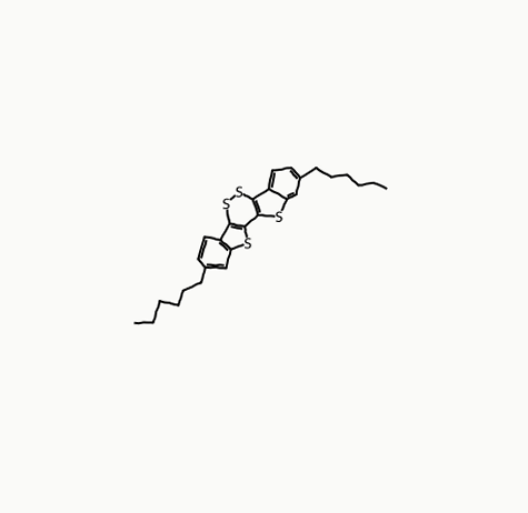 CCCCCCc1ccc2c3c(sc2c1)-c1sc2cc(CCCCCC)ccc2c1SS3